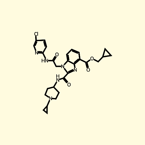 O=C(Cn1c(C(=O)NC2CCN(C3CC3)CC2)nc2c(C(=O)OCC3CC3)cccc21)Nc1ccc(Cl)cn1